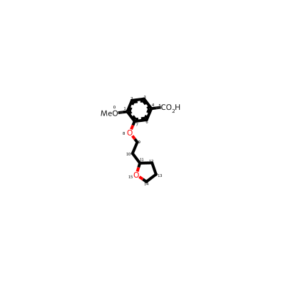 COc1ccc(C(=O)O)cc1OCCC1CCCO1